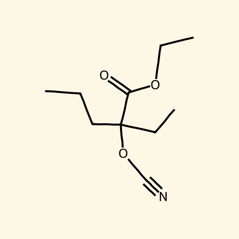 CCCC(CC)(OC#N)C(=O)OCC